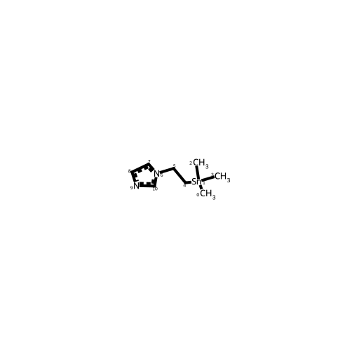 [CH3][Sn]([CH3])([CH3])[CH2]Cn1ccnc1